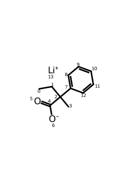 CCC(C)(C(=O)[O-])c1ccccc1.[Li+]